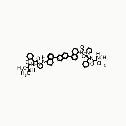 CN[C@@H](C)C(=O)N[C@H](C(=O)N1CCC[C@H]1N[C@@H]1CCCc2c(-c3ccc4cc(-c5cccc6c5CCC[C@H]6NC(=O)[C@@H]5CCCN5C(=O)[C@@H](NC(=O)[C@H](C)NC)C5CCCCC5)ccc4c3)cccc21)C1CCCCC1